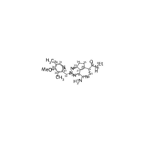 CCNC(=O)C1SN=C(N)C2=NN(Cc3ncc(C)c(OC)c3C)N=C3CCC1=C32